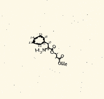 COC(=O)CCOC(=O)[C@@H](N)Cc1ccccc1